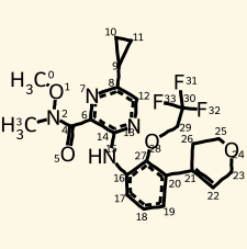 CON(C)C(=O)c1nc(C2CC2)cnc1Nc1cccc(C2=CCOCC2)c1OCC(F)(F)F